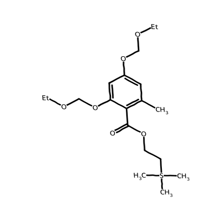 CCOCOc1cc(C)c(C(=O)OCCS(C)(C)C)c(OCOCC)c1